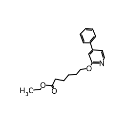 CCOC(=O)CCCCCOc1cc(-c2ccccc2)ccn1